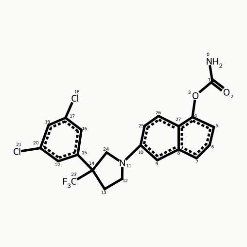 NC(=O)Oc1cccc2cc(N3CCC(c4cc(Cl)cc(Cl)c4)(C(F)(F)F)C3)ccc12